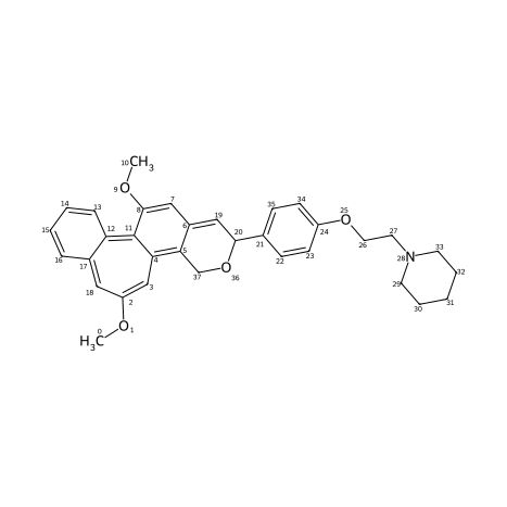 COC1=Cc2c3c(cc(OC)c2=c2ccccc2=C1)=CC(c1ccc(OCCN2CCCCC2)cc1)OC3